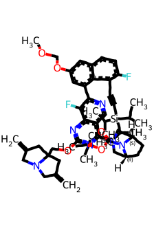 C=C1CN2CC(=C)CC2(COc2nc(N3C[C@H]4CC[C@@H](C3)N4C(=O)OC(C)(C)C)c3cnc(-c4cc(OCOC)cc5ccc(F)c(C#C[Si](C(C)C)(C(C)C)C(C)C)c45)c(F)c3n2)C1